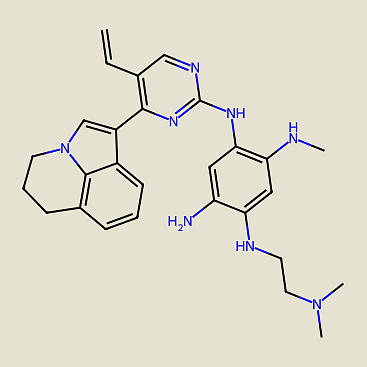 C=Cc1cnc(Nc2cc(N)c(NCCN(C)C)cc2NC)nc1-c1cn2c3c(cccc13)CCC2